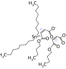 CCCCCCC[CH2][Sn+2][CH2]CCCCCCC.CCCCOC(=O)/C=C\C(=O)[O-].CCCCOC(=O)/C=C\C(=O)[O-]